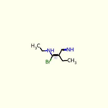 CCN/C(Br)=C(\C=N)CC